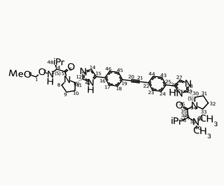 COCON[C@H](C(=O)N1CCC[C@H]1c1ncc(-c2ccc(C#Cc3ccc(-c4cnc([C@@H]5CCCN5C(=O)[C@H](C(C)C)N(C)C)[nH]4)cc3)cc2)[nH]1)C(C)C